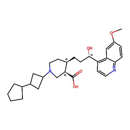 COc1ccc2nccc([C@@H](O)CC[C@@H]3CCN(C4CC(C5CCCC5)C4)C[C@@H]3C(=O)O)c2c1